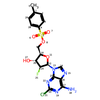 Cc1ccc(S(=O)(=O)OC[C@H]2O[C@@H](n3cnc4c(N)nc(Cl)nc43)[C@@H](F)[C@@H]2O)cc1